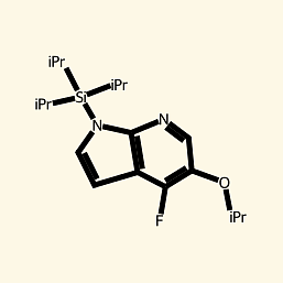 CC(C)Oc1cnc2c(ccn2[Si](C(C)C)(C(C)C)C(C)C)c1F